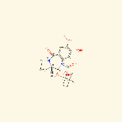 COc1cc2c(cc1O)N(C(=O)O)C(O[Si](C)(C)C(C)(C)C)[C@@H]1CCCN1C2=O